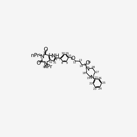 CCCn1c(=O)c2[nH]c(-c3ccc(OCCCC(=O)N4CCN(c5ccccc5)CC4)cc3)cc2n(CCC)c1=O